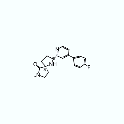 CN1CC[C@@]2(CC[C@H](c3cc(-c4ccc(F)cc4)ccn3)N2)C1=O